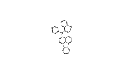 c1ccc2c(c1)-c1cccc3c(N(c4ccncc4)c4ccnc5ccccc45)ccc-2c13